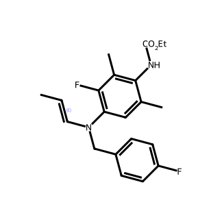 C/C=C/N(Cc1ccc(F)cc1)c1cc(C)c(NC(=O)OCC)c(C)c1F